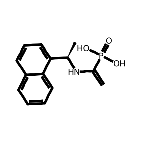 C=C(N[C@H](C)c1cccc2ccccc12)P(=O)(O)O